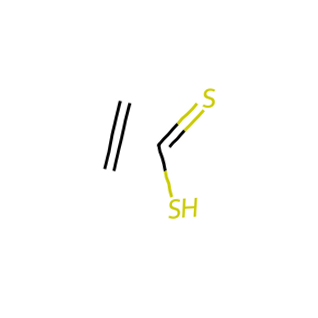 C=C.S=CS